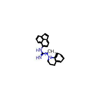 CN(C(=N)Nc1ccc2c3c(cccc13)C=C2)N1CCCc2ccccc21